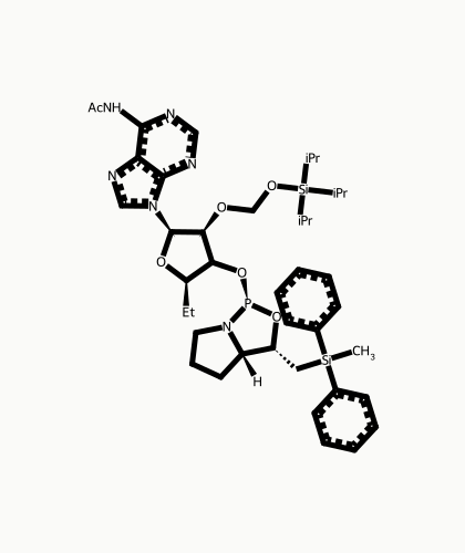 CC[C@H]1O[C@@H](n2cnc3c(NC(C)=O)ncnc32)[C@@H](OCO[Si](C(C)C)(C(C)C)C(C)C)C1O[P@@]1O[C@H](C[Si](C)(c2ccccc2)c2ccccc2)[C@@H]2CCCN21